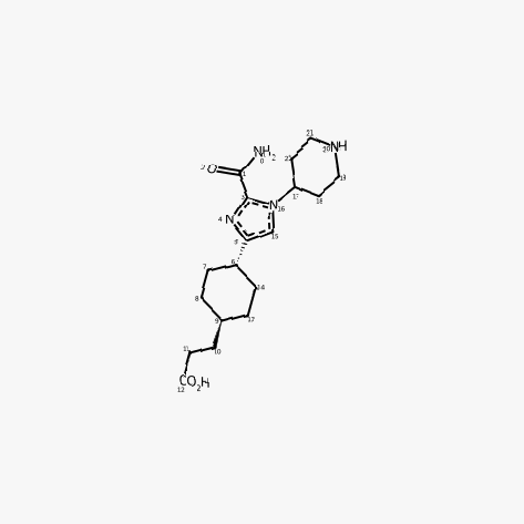 NC(=O)c1nc([C@H]2CC[C@H](CCC(=O)O)CC2)cn1C1CCNCC1